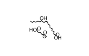 CCCCCCC(O)C/C=C\CCCCCCCC(=O)O.COC(=O)CCCC(=O)O